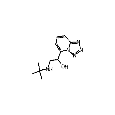 CC(C)(C)NCC(O)c1cccc2nnnn12